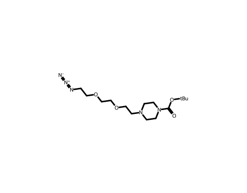 CC(C)(C)OC(=O)N1CCN(CCOCCOCCN=[N+]=[N-])CC1